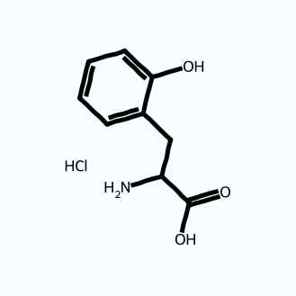 Cl.NC(Cc1ccccc1O)C(=O)O